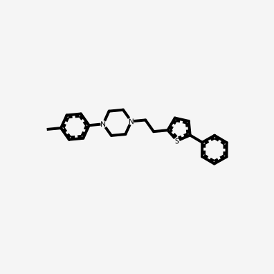 Cc1ccc(N2CCN(CCc3ccc(-c4ccccc4)s3)CC2)cc1